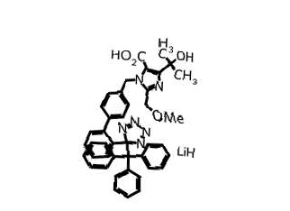 COCc1nc(C(C)(C)O)c(C(=O)O)n1Cc1ccc(-c2ccccc2C2(C(c3ccccc3)(c3ccccc3)c3ccccc3)N=NN=N2)cc1.[LiH]